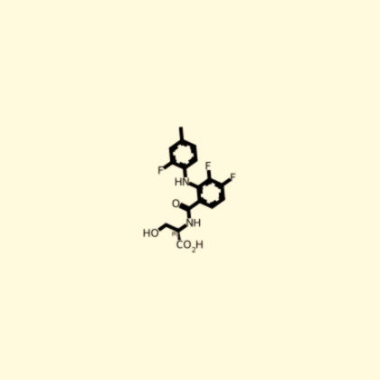 Cc1ccc(Nc2c(C(=O)N[C@H](CO)C(=O)O)ccc(F)c2F)c(F)c1